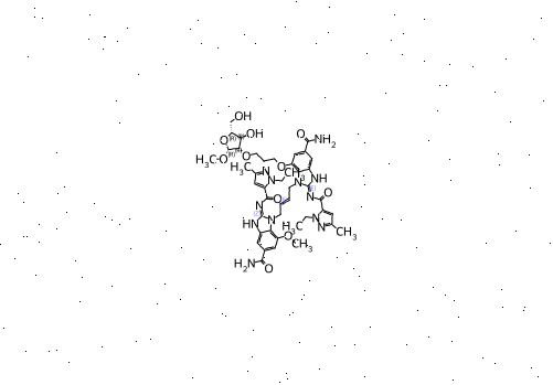 CCn1nc(C)cc1C(=O)/N=c1/[nH]c2cc(C(N)=O)cc(OC)c2n1C/C=C/Cn1/c(=N/C(=O)c2cc(C)nn2CC)[nH]c2cc(C(N)=O)cc(OCCCO[C@H]3[C@H](OC)O[C@H](CO)[C@H]3O)c21